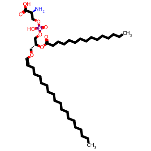 CCCCCCCCCCCCCCCCCC/C=C\OC[C@H](COP(=O)(O)OC[C@H](N)C(=O)O)OC(=O)CCCCCCCCCCCCCC